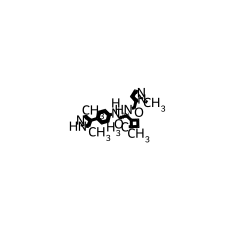 Cc1n[nH]c(C)c1-c1ccc(NC(=O)[C@@H](NC(=O)c2ccnn2C)C2CCC2(C)C)cc1